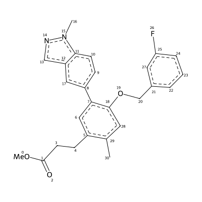 COC(=O)CCc1cc(-c2ccc3c(cnn3C)c2)c(OCc2cccc(F)c2)cc1C